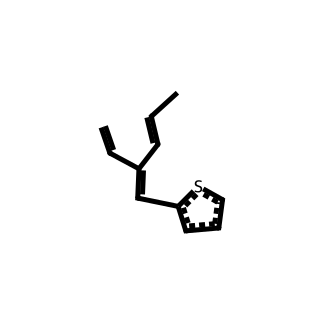 C=CC(C=CC)=Cc1cccs1